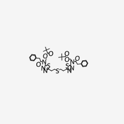 CC(C)(C)C(=O)OCN(C(=O)Cc1ccccc1)c1nnc(CCSCCc2nnc(N(COC(=O)C(C)(C)C)C(=O)Cc3ccccc3)s2)s1